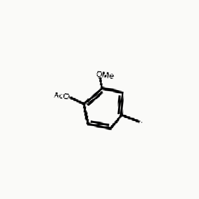 [CH2]c1ccc(OC(C)=O)c(OC)c1